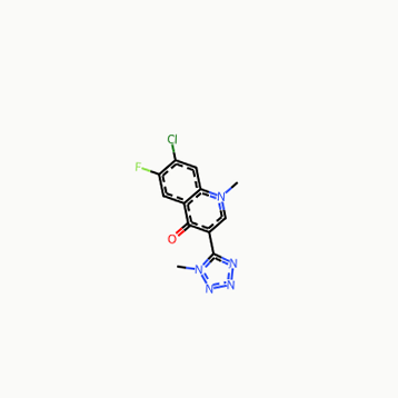 Cn1nnnc1-c1cn(C)c2cc(Cl)c(F)cc2c1=O